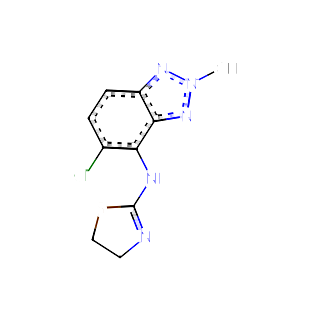 Cn1nc2ccc(Cl)c(NC3=NCCS3)c2n1